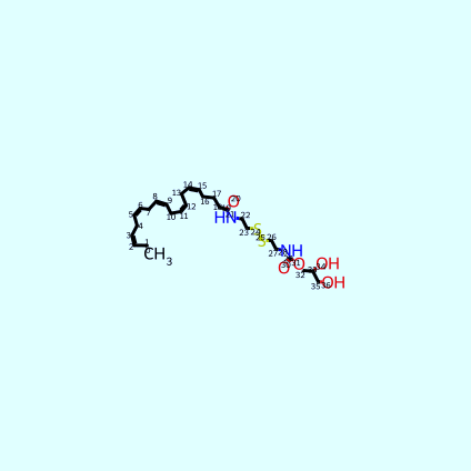 CC/C=C\C/C=C\C/C=C\C/C=C\C/C=C\CCCC(=O)NCCSSCCNC(=O)OCC(O)CO